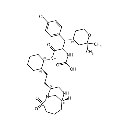 CC1(C)C[C@H](C(c2ccc(Cl)cc2)C(NC(=O)O)C(=O)N[C@H]2CCCC[C@@H]2CC[C@H]2CN[C@@H]3CCCS(=O)(=O)N2C3)CCO1